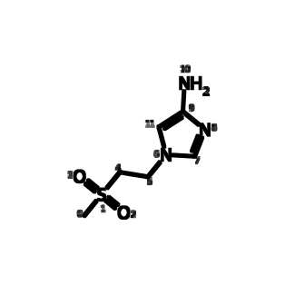 CS(=O)(=O)CCn1cnc(N)c1